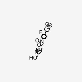 O=C1O[C@@H](Cn2cc(CO)nn2)CN1c1ccc(C2CCS(=O)(=O)CC2)c(F)c1